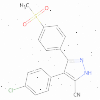 CS(=O)(=O)c1ccc(-c2n[nH]c(C#N)c2-c2ccc(Cl)cc2)cc1